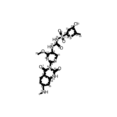 CNc1ccc2c(=O)n(-c3ncc(NC(=O)NS(=O)(=O)c4cc(Cl)c(C)s4)c(OC)n3)c(=O)[nH]c2c1